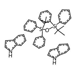 CC(C)(C)[Si](O[Si](c1ccccc1)(c1ccccc1)C(C)(C)C)(c1ccccc1)c1ccccc1.c1ccc2[nH]ccc2c1.c1ccc2[nH]ccc2c1